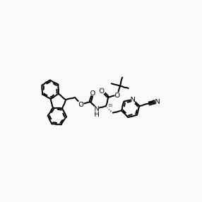 CC(C)(C)OC(=O)[C@H](Cc1ccc(C#N)nc1)NC(=O)OCC1c2ccccc2-c2ccccc21